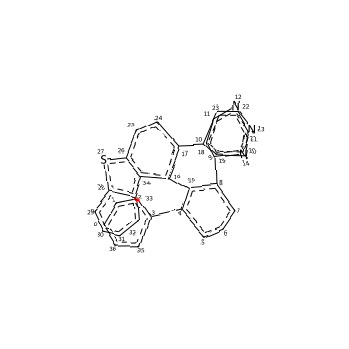 c1ccc(-c2cccc(-c3ccnnn3)c2-c2c(-c3ccccc3)ccc3sc4ccccc4c23)cc1